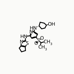 CC(C)S(=O)(=O)c1cc(Nc2nc3c(s2)CCC3)nc(N[C@H]2CC[C@H](O)CC2)c1